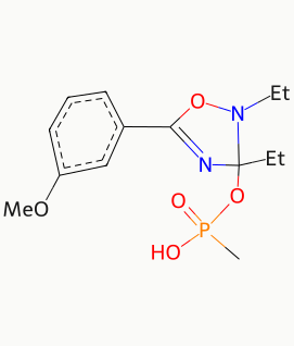 CCN1OC(c2cccc(OC)c2)=NC1(CC)OP(C)(=O)O